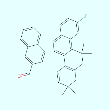 CC1(C)C=CC2=C(C1)CC(C)(C)c1c2ccc2ccc(F)cc12.O=Cc1ccc2ccccc2c1